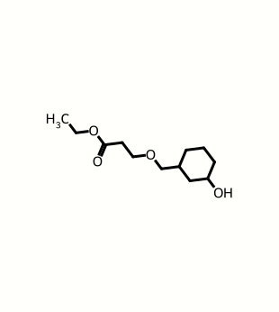 CCOC(=O)CCOCC1CCCC(O)C1